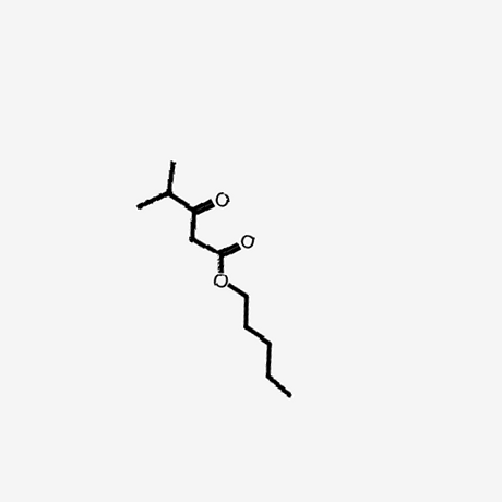 CCCCCOC(=O)CC(=O)C(C)C